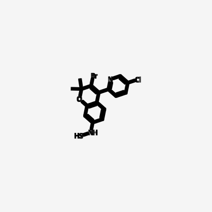 CC1(C)Oc2cc(NS)ccc2C(c2ccc(Cl)cn2)=C1Br